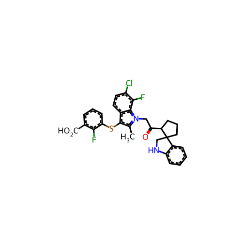 Cc1c(Sc2cccc(C(=O)O)c2F)c2ccc(Cl)c(F)c2n1CC(=O)C1CCCC12CNc1ccccc12